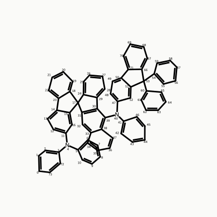 c1ccc(N(c2ccccc2)c2ccc3c(c2)C2(c4ccccc4-3)c3ccccc3-c3c2cc2ccccc2c3N(c2ccccc2)c2ccc3c(c2)C(c2ccccc2)(c2ccccc2)c2ccccc2-3)cc1